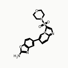 Nc1nc2cc(-c3ccc4ncc(S(=O)(=O)N5CCOCC5)n4c3)ccc2o1